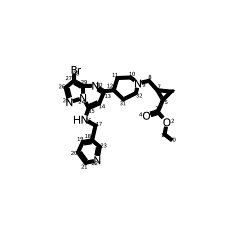 CCOC(=O)C1CC1CN1CCC(c2cc(NCc3cccnc3)n3ncc(Br)c3n2)CC1